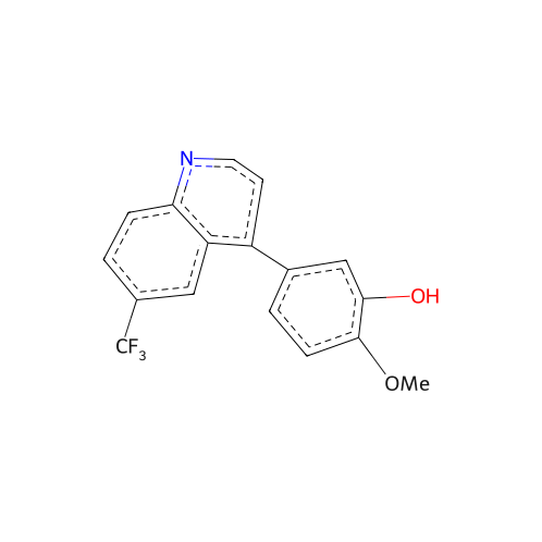 COc1ccc(-c2ccnc3ccc(C(F)(F)F)cc23)cc1O